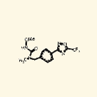 CONC(=O)N(C)Cc1ccc(-c2noc(C(F)(F)F)n2)cc1